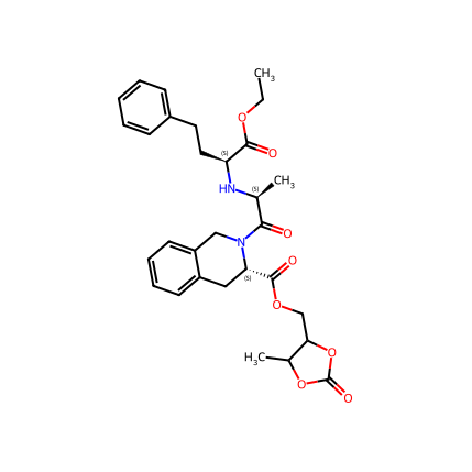 CCOC(=O)[C@H](CCc1ccccc1)N[C@@H](C)C(=O)N1Cc2ccccc2C[C@H]1C(=O)OCC1OC(=O)OC1C